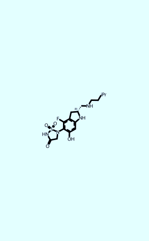 CC(C)CCNC[C@H]1Cc2c(cc(O)c(N3CC(=O)NS3(=O)=O)c2F)N1